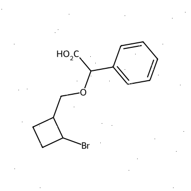 O=C(O)C(OCC1CCC1Br)c1ccccc1